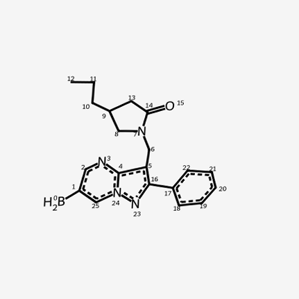 Bc1cnc2c(CN3CC(CCC)CC3=O)c(-c3ccccc3)nn2c1